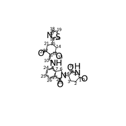 O=C1CCC(N2Cc3c(NC=C4C(=O)CC(c5nccs5)CC4=O)cccc3C2=O)C(=O)N1